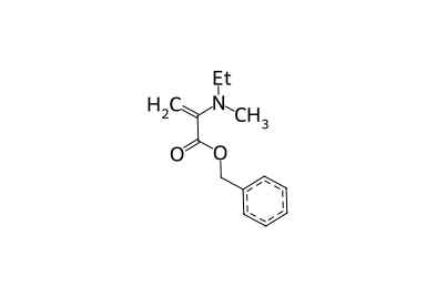 C=C(C(=O)OCc1ccccc1)N(C)CC